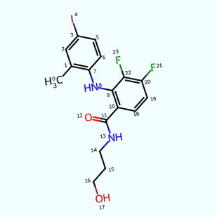 Cc1cc(I)ccc1Nc1c(C(=O)NCCCO)ccc(F)c1F